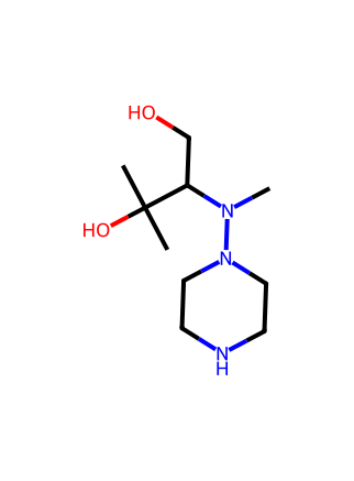 CN(C(CO)C(C)(C)O)N1CCNCC1